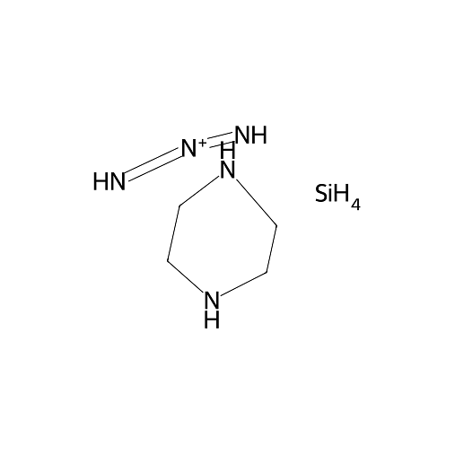 C1CNCCN1.N=[N+]=N.[SiH4]